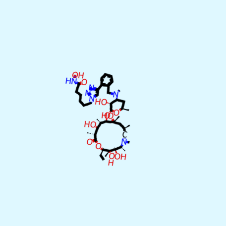 CC[C@H]1OC(=O)[C@H](C)[C@@H](O)[C@H](C)[C@@H](O[C@@H]2O[C@H](C)C[C@H](N(C)Cc3ccccc3-c3cn(CCCCCC(=O)NO)nn3)[C@H]2O)[C@](C)(O)C[C@@H](C)CN(C)[C@H](C)[C@@H](O)[C@]1(C)O